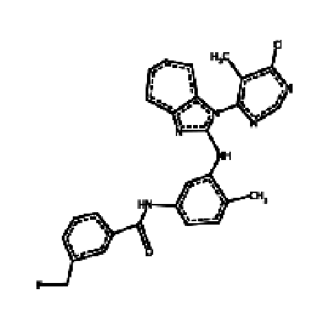 Cc1ccc(NC(=O)c2cccc(CF)c2)cc1Nc1nc2ccccc2n1-c1ncnc(Cl)c1C